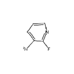 [2H]c1cccnc1F